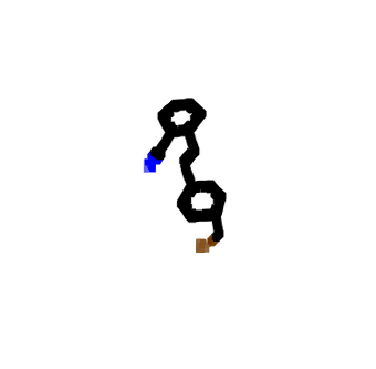 N#Cc1ccccc1/C=C/c1ccc(CBr)cc1